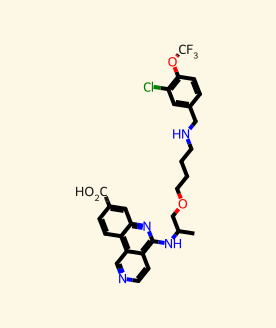 CC(COCCCCNCc1ccc(OC(F)(F)F)c(Cl)c1)Nc1nc2cc(C(=O)O)ccc2c2cnccc12